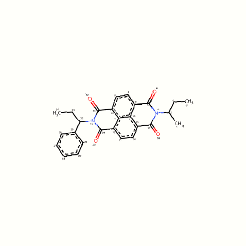 CCC(C)N1C(=O)c2ccc3c4c(ccc(c24)C1=O)C(=O)N(C(CC)c1ccccc1)C3=O